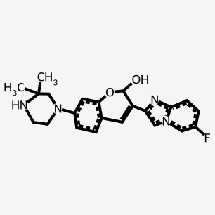 CC1(C)CN(c2ccc3c(c2)OC(O)C(c2cn4cc(F)ccc4n2)=C3)CCN1